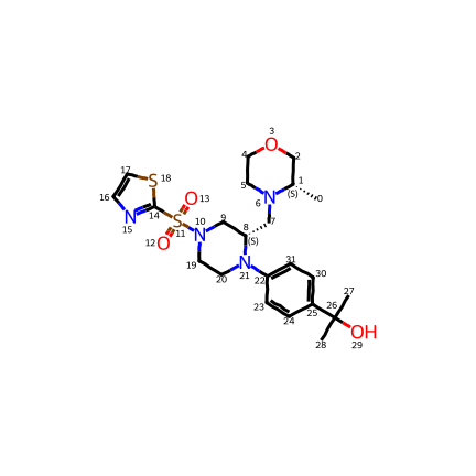 C[C@H]1COCCN1C[C@H]1CN(S(=O)(=O)c2nccs2)CCN1c1ccc(C(C)(C)O)cc1